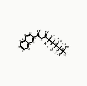 O=C(CC(=O)C(F)(F)C(F)(F)C(F)(F)C(F)(F)C(F)(F)F)c1ccc2ccccc2c1